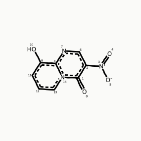 O=c1c([N+](=O)[O-])cnc2c(O)cccn12